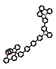 c1ccc(-c2ccccc2-c2cccc(C3(c4cccc(-c5ccc(-c6ccc(-c7ccc(-n8c9ccccc9c9cc(-c%10ccc%11c(c%10)c%10ccccc%10n%11-c%10ccccc%10-c%10ccccc%10)ccc98)cc7)cc6)cc5)c4)c4ccccc4-c4ccccc43)c2)cc1